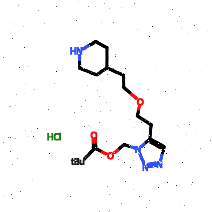 CC(C)(C)C(=O)OCn1nncc1CCOCCC1CCNCC1.Cl